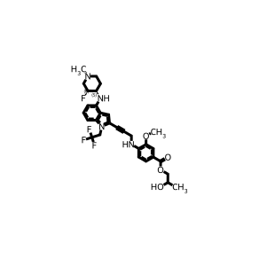 COc1cc(C(=O)OCC(C)O)ccc1NCC#Cc1cc2c(N[C@H]3CCN(C)C[C@H]3F)cccc2n1CC(F)(F)F